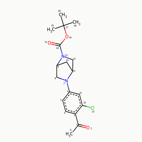 CC(=O)c1ccc(N2CC3CC2CN3C(=O)OC(C)(C)C)cc1Cl